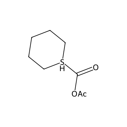 CC(=O)OC(=O)[SH]1CCCCC1